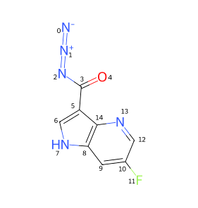 [N-]=[N+]=NC(=O)c1c[nH]c2cc(F)cnc12